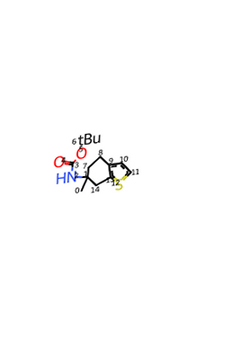 CC1(NC(=O)OC(C)(C)C)CCc2ccsc2C1